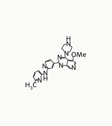 COc1cncc2nc(-c3ccnc(Nc4cccc(C)n4)c3)nc(N3CCNCC3)c12